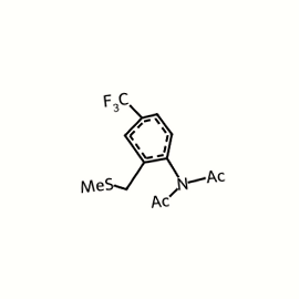 CSCc1cc(C(F)(F)F)ccc1N(C(C)=O)C(C)=O